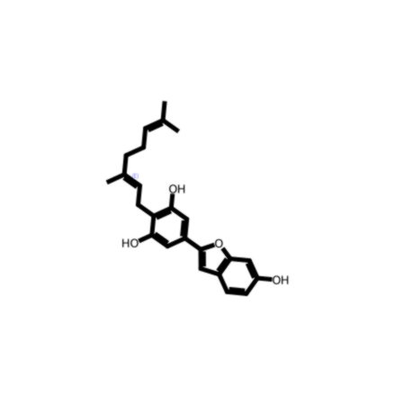 CC(C)=CCC/C(C)=C/Cc1c(O)cc(-c2cc3ccc(O)cc3o2)cc1O